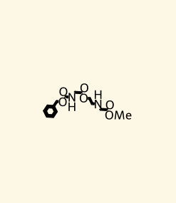 COC(=O)CNCCOC(=O)CNC(=O)OCc1ccccc1